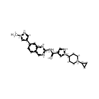 Cn1cc(-c2ccc3cnc(NC(=O)c4cnn(C5CCN(C6CC6)CC5)c4)nc3c2)cn1